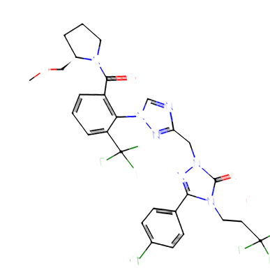 COC[C@H]1CCCN1C(=O)c1cccc(C(F)(F)F)c1-n1cnc(Cn2nc(-c3ccc(Cl)cc3)n(C[C@H](O)C(F)(F)F)c2=O)n1